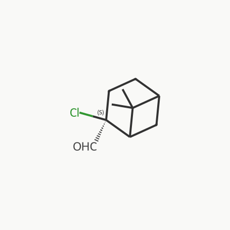 CC1(C)C2CC[C@@](Cl)(C=O)C1C2